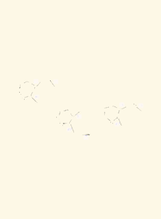 C\C1=c2/cc(C3C\C=C/C=c4/ccnn/c4=C(\C)C3)nn/c2=C/C=C\CC(c2ccc3/c(n2)=C(/C)CCC/C=N\C=3)C1